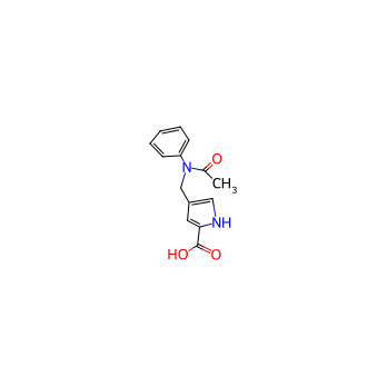 CC(=O)N(Cc1c[nH]c(C(=O)O)c1)c1ccccc1